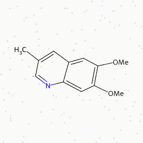 COc1cc2cc(C)[c]nc2cc1OC